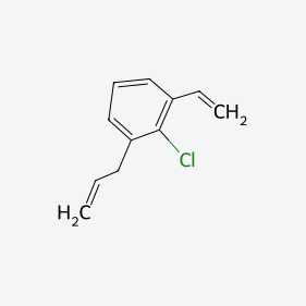 C=CCc1cccc(C=C)c1Cl